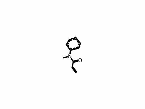 C=CC(=O)N(C)c1cc[c]cc1